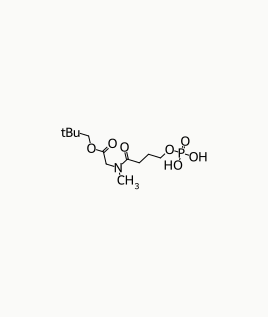 CN(CC(=O)OCC(C)(C)C)C(=O)CCCOP(=O)(O)O